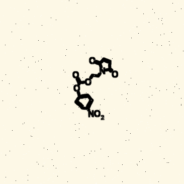 O=C(OCCN1C(=O)C=CC1=O)Oc1ccc([N+](=O)[O-])cc1